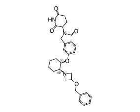 O=C1CCC(N2Cc3cc(O[C@@H]4CCCC[C@@H]4N4CC(OCc5ccccc5)C4)ccc3C2=O)C(=O)N1